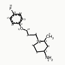 CC1CC(N)CCN1CCCOc1ccc(F)cc1